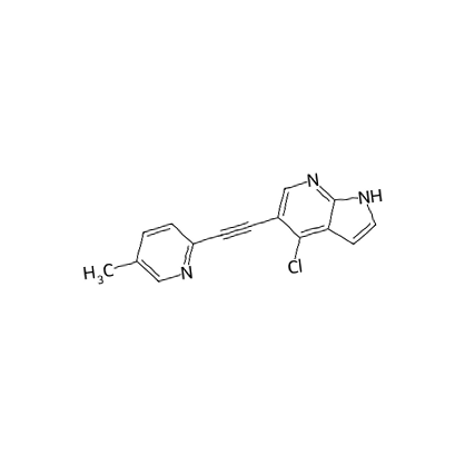 Cc1ccc(C#Cc2cnc3[nH]ccc3c2Cl)nc1